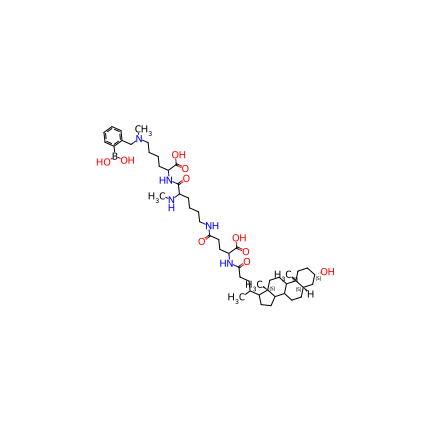 CNC(CCCCNC(=O)CCC(NC(=O)CCC(C)C1CCC2C3CC[C@H]4C[C@@H](O)CC[C@@]4(C)C3CC[C@@]12C)C(=O)O)C(=O)NC(CCCCN(C)Cc1ccccc1B(O)O)C(=O)O